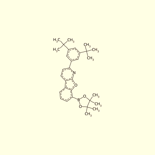 CC(C)(C)c1cc(-c2ccc3c(n2)oc2c(B4OC(C)(C)C(C)(C)O4)cccc23)cc(C(C)(C)C)c1